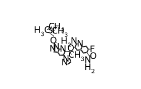 CC(Oc1cc2cc(C(N)=O)c(F)cc2nc1N)c1nc2c(cnn2COCC[Si](C)(C)C)cc1-n1cccn1